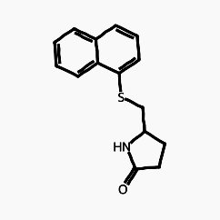 O=C1CCC(CSc2cccc3ccccc23)N1